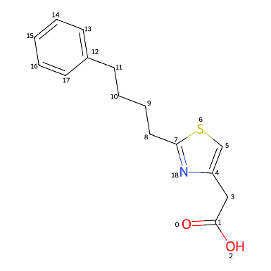 O=C(O)Cc1csc(CCCCc2ccccc2)n1